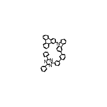 c1ccc(-c2nc(-c3ccccc3)nc(-c3cccc(-c4cccc(-c5ccc6c(c5)c5ccccc5n6-c5ccc6c7ccccc7c7ccccc7c6c5)c4)c3)n2)cc1